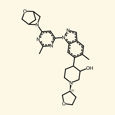 Cc1nc(N2CC3CC2CO3)cc(-n2ncc3cc(C)c(C4CCN([C@H]5CCOC5)CC4O)cc32)n1